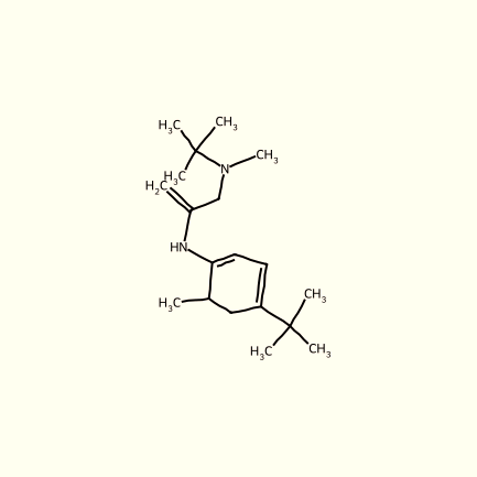 C=C(CN(C)C(C)(C)C)NC1=CC=C(C(C)(C)C)CC1C